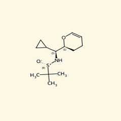 CC(C)(C)[S@+]([O-])N[C@@H](C1CC1)[C@@H]1CCC=CO1